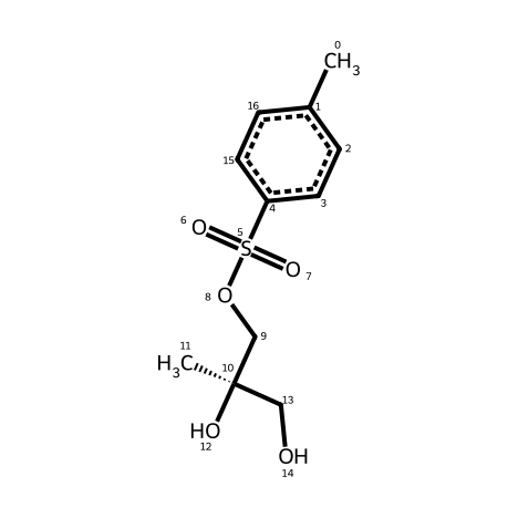 Cc1ccc(S(=O)(=O)OC[C@](C)(O)CO)cc1